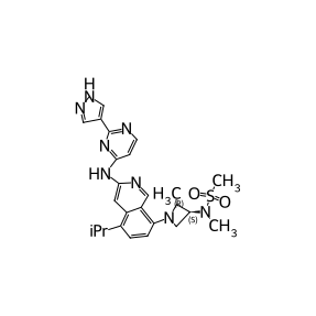 CC(C)c1ccc(N2C[C@H](N(C)S(C)(=O)=O)[C@H]2C)c2cnc(Nc3ccnc(-c4cn[nH]c4)n3)cc12